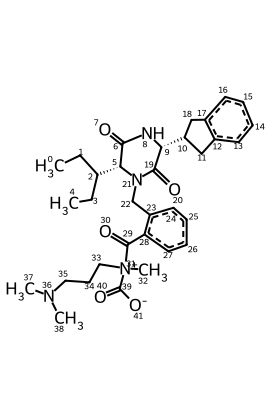 CCC(CC)[C@@H]1C(=O)N[C@H](C2Cc3ccccc3C2)C(=O)N1Cc1ccccc1C(=O)[N+](C)(CCCN(C)C)C(=O)[O-]